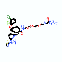 NC(=O)CNCCOCCOCCOCCNC(=O)[C@]1(Cc2cccc(Nc3nccs3)n2)CC[C@@H](Oc2cccc(Cl)c2F)CC1